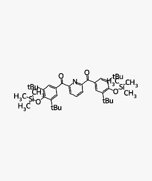 CC(C)(C)c1cc(C(=O)c2cccc(C(=O)c3cc(C(C)(C)C)c(O[Si](C)(C)C)c(C(C)(C)C)c3)n2)cc(C(C)(C)C)c1O[Si](C)(C)C